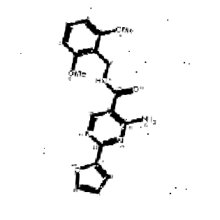 COc1cccc(OC)c1CNC(=O)c1cnc(-c2ccco2)nc1N